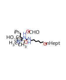 CCCCCCCOCCCCCCNC(=O)NC(C[N+](C)(C)C)[C@@H](CC(C)C)C(=O)O.O=C[O-]